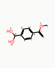 C=C(OC)c1ccc(C(O)O)cc1